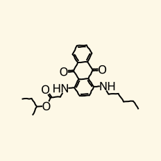 CCCCCNc1ccc(NCC(=O)OC(C)CC)c2c1C(=O)c1ccccc1C2=O